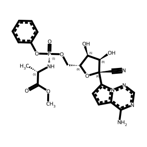 COC(=O)[C@H](C)N[P@](=O)(OC[C@H]1O[C@@](C#N)(c2ccc3c(N)ncnn23)[C@H](O)[C@@H]1O)Oc1ccccc1